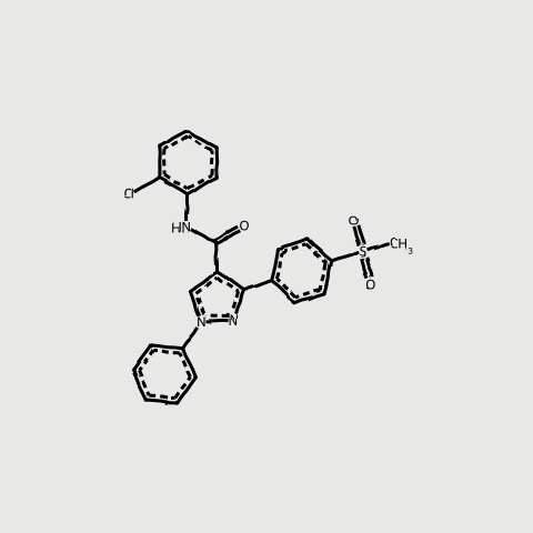 CS(=O)(=O)c1ccc(-c2nn(-c3ccccc3)cc2C(=O)Nc2ccccc2Cl)cc1